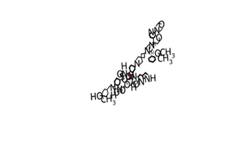 CC(C)Oc1ccccc1[C@H]1CN([C@@H]2CCOc3c2ccnc3N2CCOCC2)CCN1C1CC2(CCN(c3ccc(C(=O)NS(=O)(=O)c4ccc(NCC5CCC(C)(O)CC5)c([N+](=O)[O-])c4)c(N4c5cc6cc[nH]c6nc5O[C@H]5COCC[C@@H]54)c3)CC2)C1